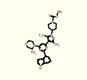 Cc1nn(C2CCN(C(=O)OC(C)(C)C)CC2)c(C(F)(F)F)c1-c1cc(N2CCOC[C@H]2C)nc(-c2cccc3[nH]ccc23)n1